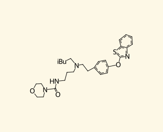 CCC(C)CN(CCCNC(=O)N1CCOCC1)CCc1ccc(Oc2nc3ccccc3s2)cc1